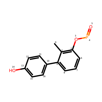 Cc1c(OP=O)cccc1-c1ccc(O)cc1